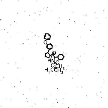 CC(C)(C)OC(=O)NC(C(=O)N1CCCC1c1cccc(Oc2ccccc2)c1)C1CCCCC1